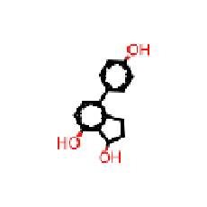 Oc1ccc(-c2ccc(O)c3c2CCC3O)cc1